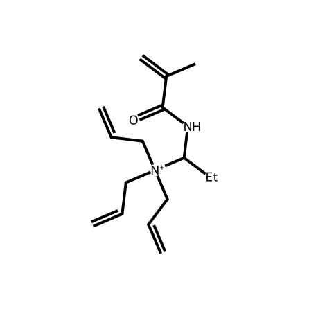 C=CC[N+](CC=C)(CC=C)C(CC)NC(=O)C(=C)C